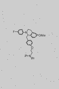 COc1ccc2c(c1)CCN(c1ccc(F)cc1)C2Cc1ccc(OCCN(C(C)C)C(C)C)cc1